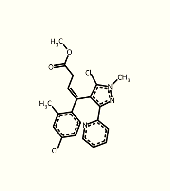 COC(=O)CC=C(c1ccc(Cl)cc1C)c1c(-c2ccccn2)nn(C)c1Cl